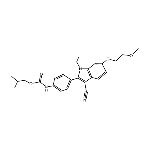 CCn1c(-c2ccc(NC(=O)OCC(C)C)cc2)c(C#N)c2ccc(OCCOC)cc21